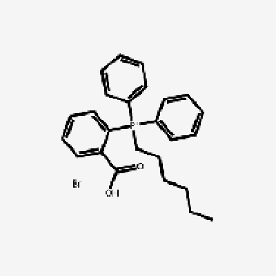 CCCCCC[P+](c1ccccc1)(c1ccccc1)c1ccccc1C(=O)O.[Br-]